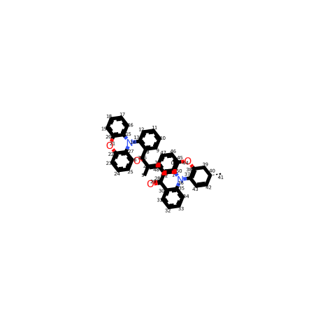 C/C=C(\C=C(/C)C(=O)c1ccccc1N1c2ccccc2Oc2ccccc21)C(=O)c1ccccc1N1C2=C(C[C@H](C)C=C2)Oc2ccccc21